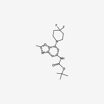 Cc1nc2cc(NC(=O)OC(C)(C)C)cc(N3CCC(F)(F)CC3)c2o1